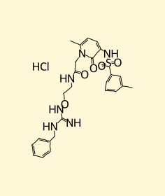 Cc1cccc(S(=O)(=O)Nc2ccc(C)n(CC(=O)NCCONC(=N)NCc3ccccc3)c2=O)c1.Cl